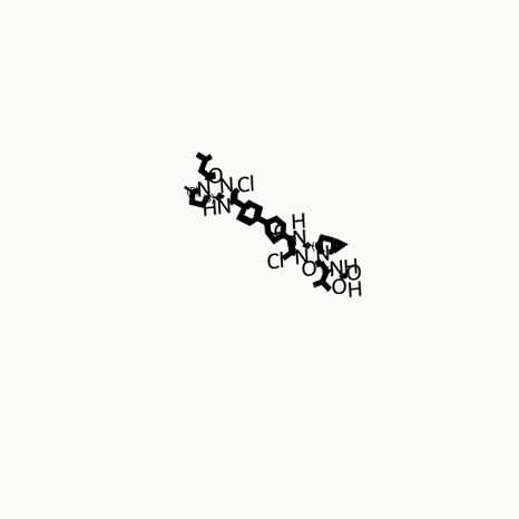 CC(C)CC(=O)N1[C@H](C)CC[C@H]1c1nc(Cl)c(-c2ccc(C34CCC(c5[nH]c([C@@H]6CC7CC7N6C(=O)[C@@H](NC(=O)O)C(C)C)nc5Cl)(CC3)CC4)cc2)[nH]1